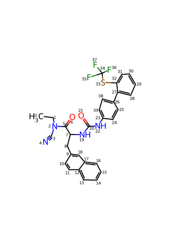 CCN(C#N)C(=O)C(Cc1ccc2ccccc2c1)NC(=O)Nc1ccc(-c2ccccc2SC(F)(F)F)cc1